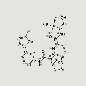 Cc1ncc(-c2ccnc(NC(=O)N3c4nc(C(=O)N[C@H](CO)C(F)(F)F)ccc4N4CCC3C4)c2)o1